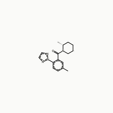 Cc1ccc(-n2nccn2)c(C(=O)N2C[CH]CC[C@H]2C)c1